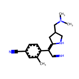 Cc1cc(C#N)ccc1/C(C=N)=C1\CC(CN(C)C)CN1